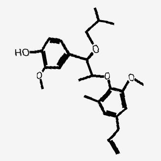 C=CCc1cc(C)c(OC(C)C(OCC(C)C)c2ccc(O)c(OC)c2)c(OC)c1